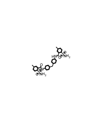 Cc1ccc(S(N)(=O)=O)c(C(=O)Nc2ccc(Cc3ccc(NC(=O)c4cc(C)ccc4S(N)(=O)=O)cc3)cc2)c1